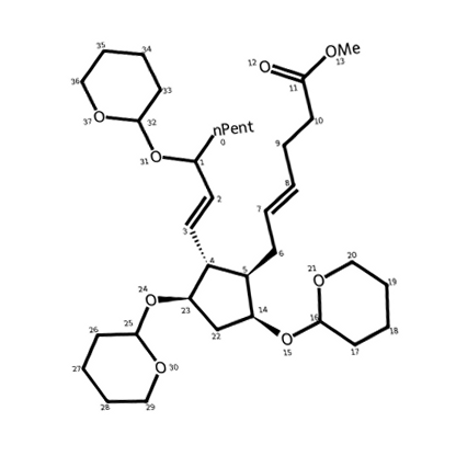 CCCCCC(C=C[C@@H]1[C@@H](CC=CCCC(=O)OC)[C@@H](OC2CCCCO2)C[C@H]1OC1CCCCO1)OC1CCCCO1